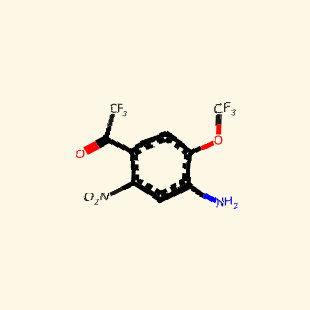 Nc1cc([N+](=O)[O-])c(C(=O)C(F)(F)F)cc1OC(F)(F)F